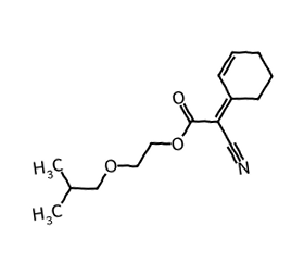 CC(C)COCCOC(=O)/C(C#N)=C1\C=CCCC1